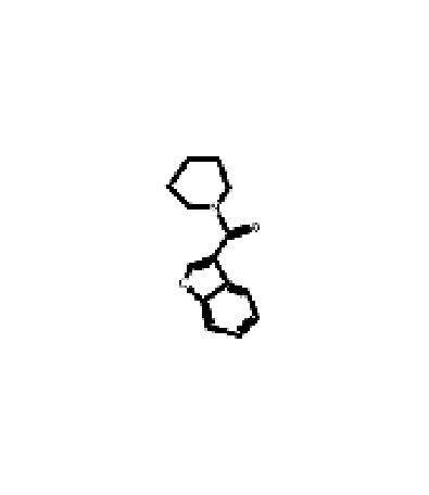 O=C(c1coc2ccccc12)N1CCCCC1